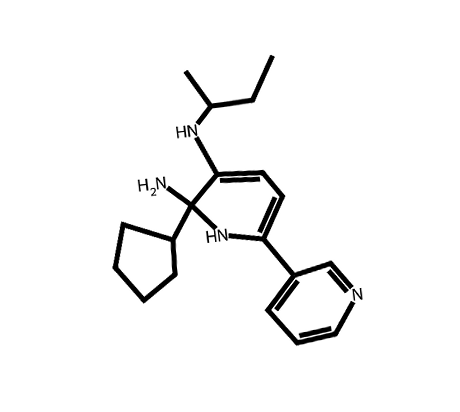 CCC(C)NC1=CC=C(c2cccnc2)NC1(N)C1CCCC1